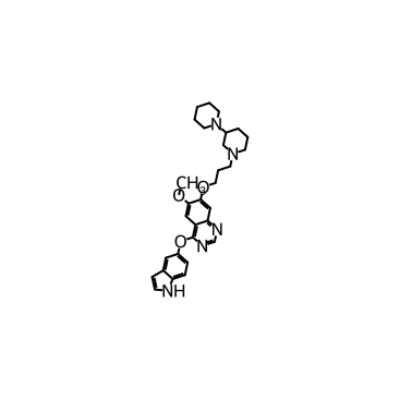 COc1cc2c(Oc3ccc4[nH]ccc4c3)ncnc2cc1OCCCN1CCCC(N2CCCCC2)C1